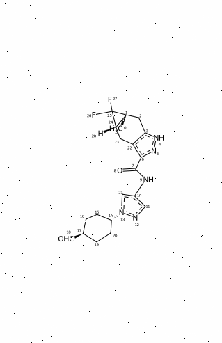 C[C@@]12Cc3[nH]nc(C(=O)Nc4cnn([C@H]5CC[C@H](C=O)CC5)c4)c3C[C@@H]1C2(F)F